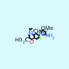 COc1c(N2C[C@@H](N)C[C@@H](OC)C2)c(F)cc2c(=O)c(C(=O)O)cn(C3CC3)c12